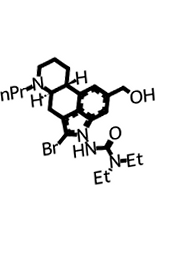 CCCN1CCC[C@@H]2c3cc(CO)cc4c3c(c(Br)n4NC(=O)N(CC)CC)C[C@H]21